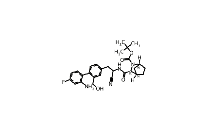 CC(C)(C)OC(=O)N1[C@@H]2CC[C@@H](C2)[C@H]1C(=O)NC(C#N)Cc1ccc(-c2ccc(F)cc2N)c(CO)c1